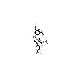 COc1cc(Nc2nc3c(N)nc(CCN)cn3n2)cc(OC)c1